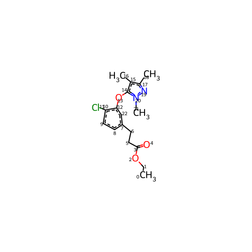 CCOC(=O)CCc1ccc(Cl)c(Oc2c(C)c(C)nn2C)c1